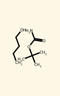 CC(C)(C)OC(N)=O.CCCCO